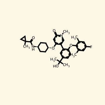 Cc1cc(F)cc(C)c1Oc1ccc(C(C)(C)O)cc1-c1cn(C)c(=O)cc1O[C@H]1CC[C@H](NC(=O)C2(C)CC2)CC1